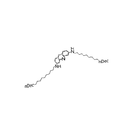 CCCCCCCCCCCCCCCCCCCCNc1ccc2cc3ccc(NCCCCCCCCCCCCCCCCCCCC)cc3nc2c1